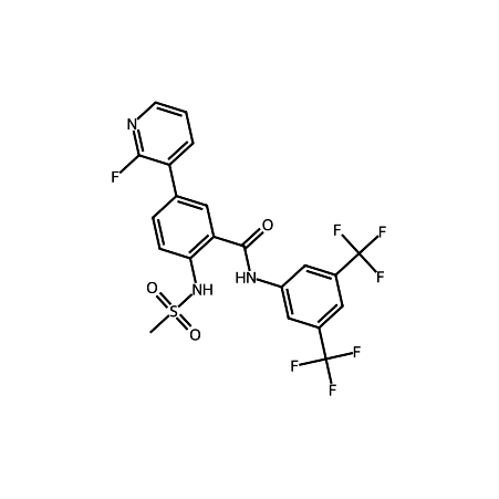 CS(=O)(=O)Nc1ccc(-c2cccnc2F)cc1C(=O)Nc1cc(C(F)(F)F)cc(C(F)(F)F)c1